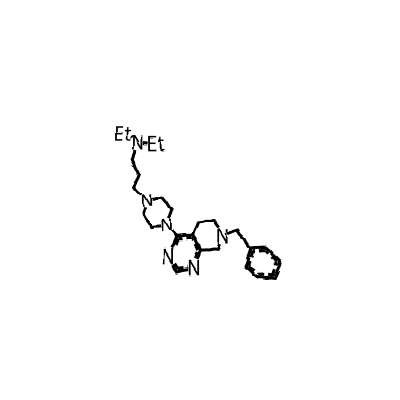 CCN(CC)CCCN1CCN(c2ncnc3c2CCN(Cc2ccccc2)C3)CC1